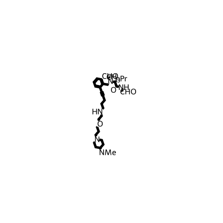 CCCC(C(=O)NC=O)N(C)Cc1c(C#CCCCNCCOCCCN2CCC(NC)CC2)cccc1C=O